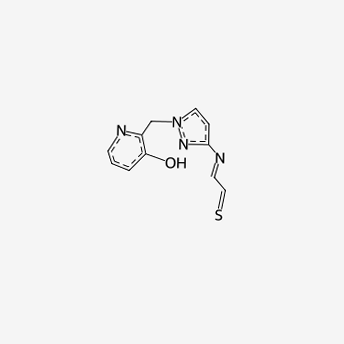 Oc1cccnc1Cn1ccc(N=CC=S)n1